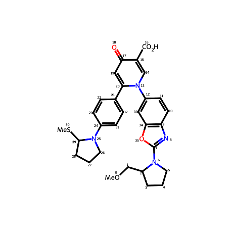 COCC1CCCN1c1nc2ccc(-n3cc(C(=O)O)c(=O)cc3-c3ccc(N4CCCC4SC)cc3)cc2o1